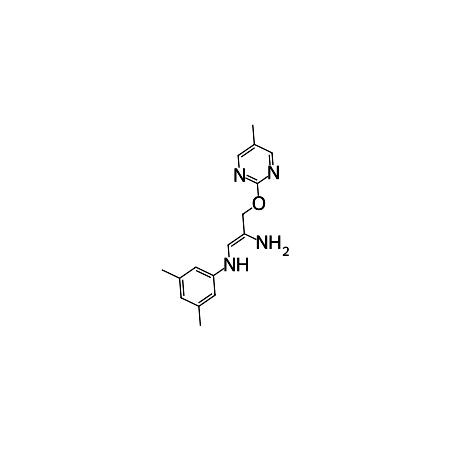 Cc1cnc(OC/C(N)=C/Nc2cc(C)cc(C)c2)nc1